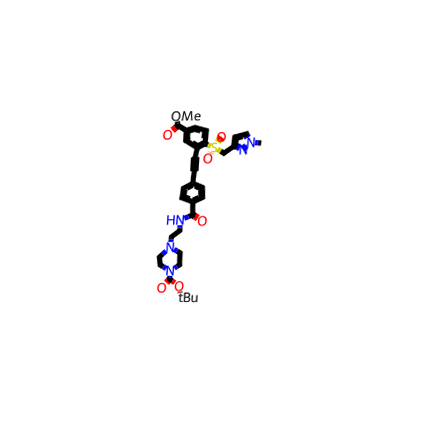 COC(=O)c1ccc(S(=O)(=O)Cc2ccn(C)n2)c(C#Cc2ccc(C(=O)NCCN3CCN(C(=O)OC(C)(C)C)CC3)cc2)c1